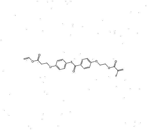 C=COC(=O)CCOc1ccc(SC(=O)c2ccc(OCCOC(=O)C(=C)F)cc2)cc1